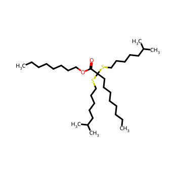 CCCCCCCCOC(=O)C(CCCCCCCC)(SCCCCCC(C)C)SCCCCCC(C)C